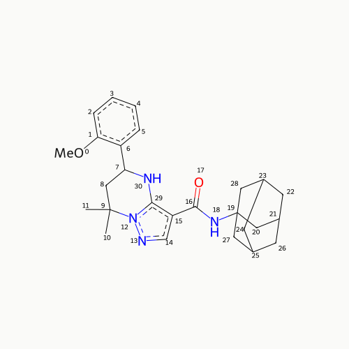 COc1ccccc1C1CC(C)(C)n2ncc(C(=O)NC34CC5CC(CC(C5)C3)C4)c2N1